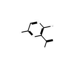 CC(=O)c1nc(C)cnc1N